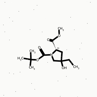 CCC1(O)C[C@@H](C(=O)OC)N(C(=O)OC(C)(C)C)C1